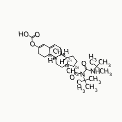 CC(C)(C)NC(=O)N(C(=O)[C@H]1CC[C@H]2[C@@H]3CC=C4C=C(OC(=O)O)CC[C@]4(C)[C@H]3CC[C@]12C)C(C)(C)C